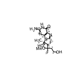 COC(F)(CCO)[C@@H](F)[C@@](C)(O)n1cnc2c(=O)[nH]c(N)nc21